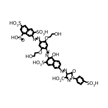 O=C(O)C1=NN(c2ccc(S(=O)(=O)O)cc2)C(=O)C1/N=N/c1ccc2c(O)c(/N=N/c3cc(OCCO)c(/N=N/c4cc5c(S(=O)O)cc(S(=O)(=O)O)cc5cc4S(=O)(=O)O)cc3OCCO)c(S(=O)(=O)O)cc2c1